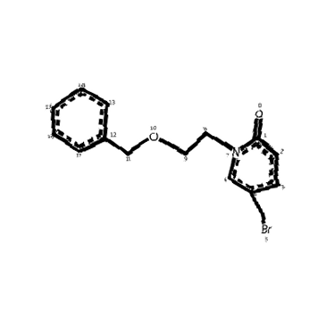 O=c1ccc(Br)cn1CCOCc1ccccc1